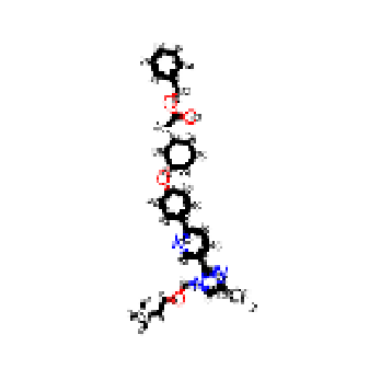 C[Si](C)(C)CCOCn1cc(C(F)(F)F)nc1-c1ccc(-c2ccc(O[C@@H]3CCC[C@@H](CC(=O)OCc4ccccc4)C3)cc2)nc1